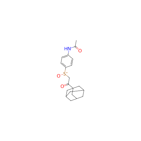 CC(=O)Nc1ccc([S+]([O-])CC(=O)C23CC4CC(CC(C4)C2)C3)cc1